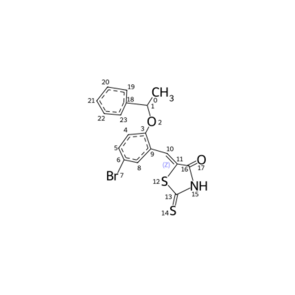 CC(Oc1ccc(Br)cc1/C=C1\SC(=S)NC1=O)c1ccccc1